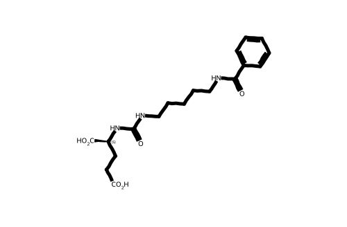 O=C(O)CC[C@H](NC(=O)NCCCCCNC(=O)c1ccccc1)C(=O)O